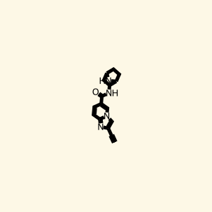 C#Cc1cn2cc(C(=O)NC3CC4CCC3N4)ccc2n1